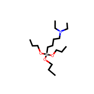 CCCO[Si](CCCCN(CC)CC)(OCCC)OCCC